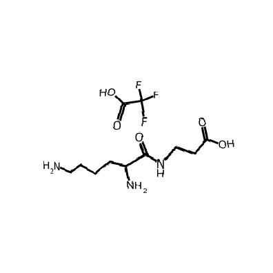 NCCCCC(N)C(=O)NCCC(=O)O.O=C(O)C(F)(F)F